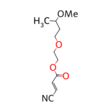 COC(C)CCOCCOC(=O)C=CC#N